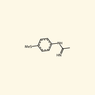 CSc1ccc(NC(C)=N)cc1